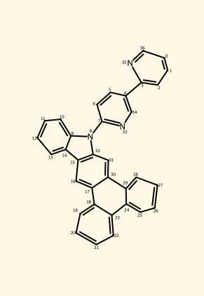 c1ccc(-c2ccc(-n3c4ccccc4c4cc5c6ccccc6c6ccccc6c5cc43)nc2)nc1